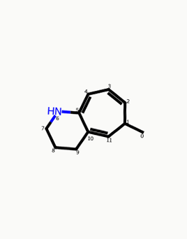 CC1C=CC=C2NCCCC2=C1